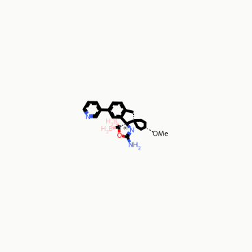 BC1(B)OC(N)=N[C@]12c1cc(-c3cccnc3)ccc1C[C@]21CC[C@@H](OC)CC1